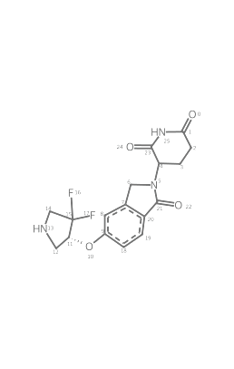 O=C1CCC(N2Cc3cc(O[C@@H]4CNCC4(F)F)ccc3C2=O)C(=O)N1